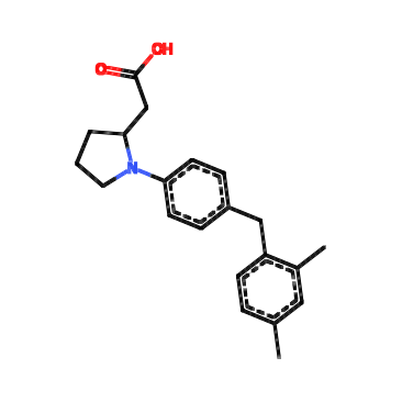 Cc1ccc(Cc2ccc(N3CCCC3CC(=O)O)cc2)c(C)c1